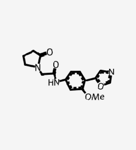 COc1cc(NC(=O)CN2CCCC2=O)ccc1-c1cnco1